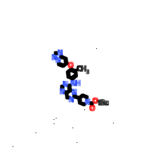 Cc1cc(Nc2ncnc3cnc(C4=CCN(C(=O)OC(C)(C)C)CC4)nc23)ccc1Oc1ccn2ncnc2c1